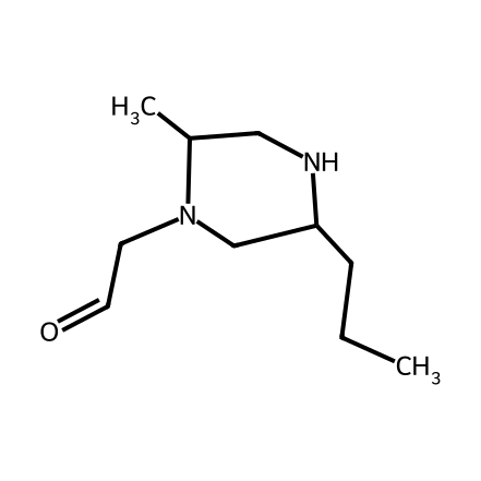 CCCC1CN(CC=O)C(C)CN1